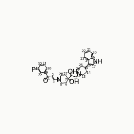 O=C(C=CN1CCC(O)(C(O)CN2CCC(c3c[nH]c4ccccc34)CC2)CC1)c1cccc(F)c1